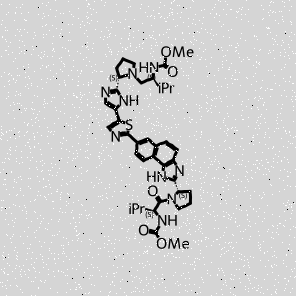 COC(=O)N[C@H](C(=O)N1CCC[C@H]1c1nc2ccc3cc(-c4ncc(-c5cnc([C@@H]6CCCN6C[C@@H](NC(=O)OC)C(C)C)[nH]5)s4)ccc3c2[nH]1)C(C)C